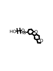 CC(C)(O)C(C)(C)OBc1ccc2oc3cc4occc4cc3c2c1